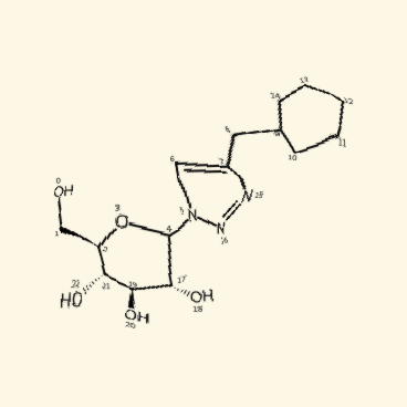 OC[C@H]1OC(n2cc(CC3CCCCC3)nn2)[C@H](O)[C@@H](O)[C@@H]1O